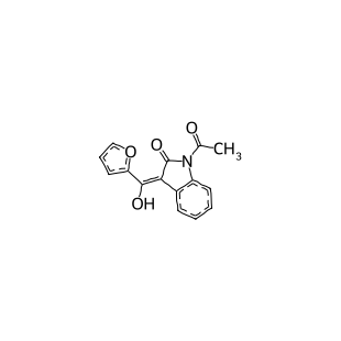 CC(=O)N1C(=O)C(=C(O)c2ccco2)c2ccccc21